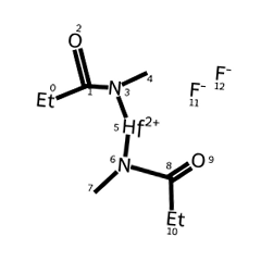 CCC(=O)[N](C)[Hf+2][N](C)C(=O)CC.[F-].[F-]